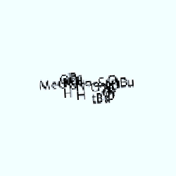 COC(=O)N[C@H](C(=O)N1CCCC1c1ncc(-c2ccc(-c3cc4sc(-c5cn(C(=O)OC(C)(C)C)c(C6CCCN6C(=O)OC(C)(C)C)n5)cc4o3)cc2)[nH]1)C(C)C